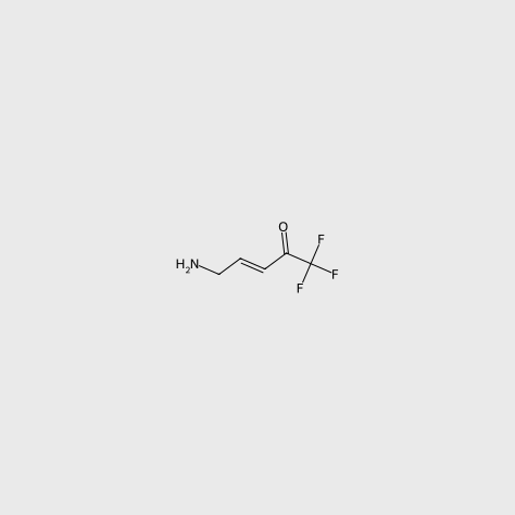 NCC=CC(=O)C(F)(F)F